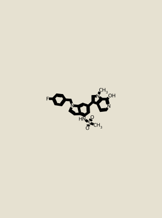 Cn1cc(-c2cc(NS(C)(=O)=O)c3ccn(Cc4ccc(F)cc4)c3c2)c2ccnc(O)c21